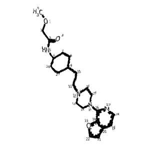 COCC(=O)NC1CCC(CCN2CCN(c3nccc4ccoc34)CC2)CC1